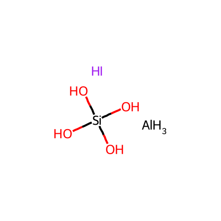 I.O[Si](O)(O)O.[AlH3]